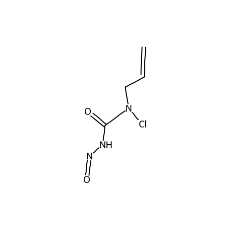 C=CCN(Cl)C(=O)NN=O